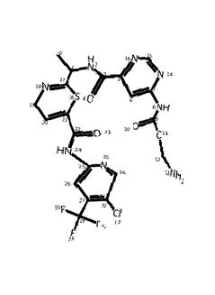 CC(NC(=O)c1cc(NC(=O)CCN)ncn1)C1=NCC=C(C(=O)Nc2cc(C(F)(F)F)c(Cl)cn2)S1